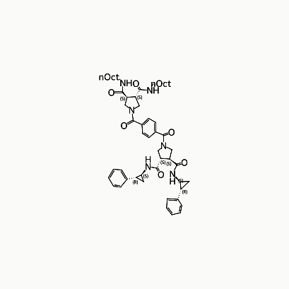 CCCCCCCCNC(=O)[C@@H]1CN(C(=O)c2ccc(C(=O)N3C[C@@H](C(=O)N[C@H]4C[C@@H]4c4ccccc4)[C@H](C(=O)N[C@H]4C[C@@H]4c4ccccc4)C3)cc2)C[C@H]1C(=O)NCCCCCCCC